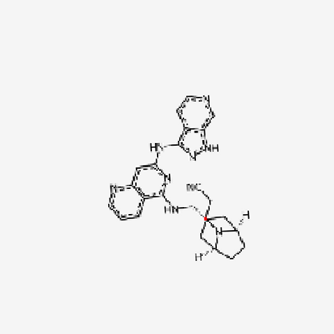 N#CCCN1[C@@H]2CC[C@H]1C[C@H](CNc1nc(Nc3n[nH]c4cnccc34)cc3ncccc13)C2